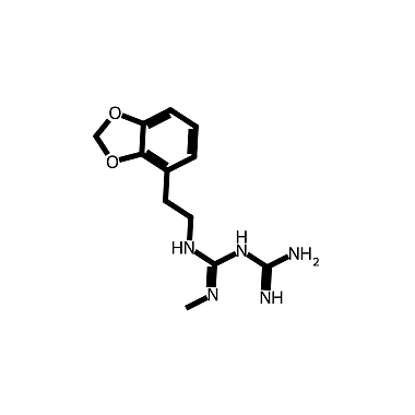 C/N=C(\NCCc1cccc2c1OCO2)NC(=N)N